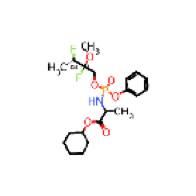 CO[C@](F)(COP(=O)(NC(C)C(=O)OC1CCCCC1)Oc1ccccc1)[C@H](C)F